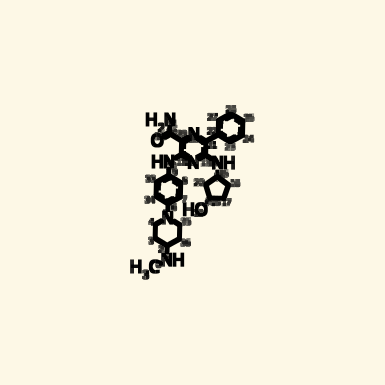 CNC1CCN(c2ccc(Nc3nc(N[C@@H]4CC[C@H](O)C4)c(-c4ccccc4)nc3C(N)=O)cc2)CC1